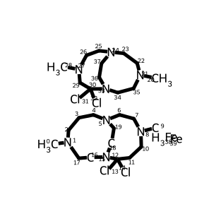 CN1CCCN2CCN(C)CCC(Cl)(Cl)N(CC1)CC2.CN1CCN2CCN(C)CC(Cl)(Cl)N(CC1)CC2.[Fe].[Fe]